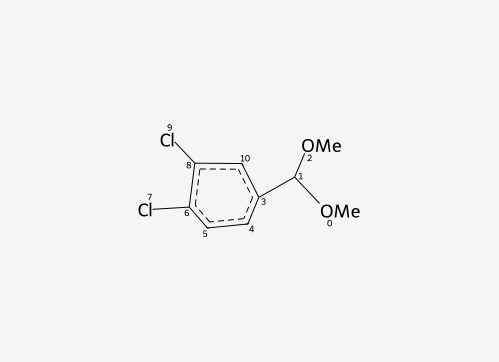 COC(OC)c1ccc(Cl)c(Cl)c1